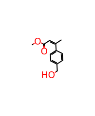 COC(=O)/C=C(/C)c1ccc(CO)cc1